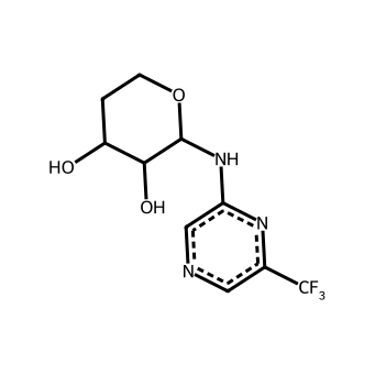 OC1CCOC(Nc2cncc(C(F)(F)F)n2)C1O